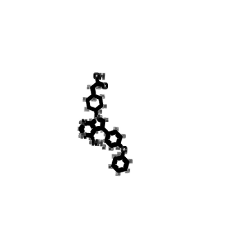 Nc1ncnc2c1c(-c1ccc(Oc3ccccc3)cc1)cn2C1CCC(=CC(=O)O)CC1